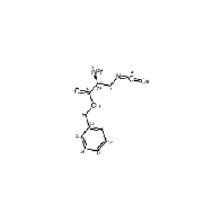 CCC[C@@H](CN=C=O)C(=O)OCc1ccccc1